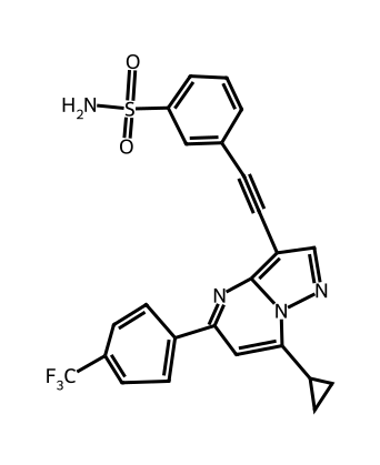 NS(=O)(=O)c1cccc(C#Cc2cnn3c(C4CC4)cc(-c4ccc(C(F)(F)F)cc4)nc23)c1